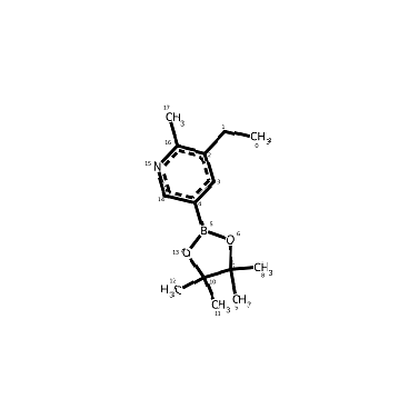 CCc1cc(B2OC(C)(C)C(C)(C)O2)cnc1C